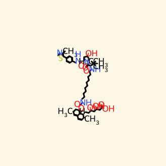 Cc1ncsc1-c1ccc(CNC(=O)[C@@H]2C[C@@H](O)CN2C(=O)C(NC(=O)CCCCCCCCCCNC(=O)O[C@H]2C[C@@H](C)C=C3C=C[C@H](C)[C@H](CC[C@@H](O)C[C@@H](O)CC(=O)O)[C@H]32)C(C)(C)C)cc1